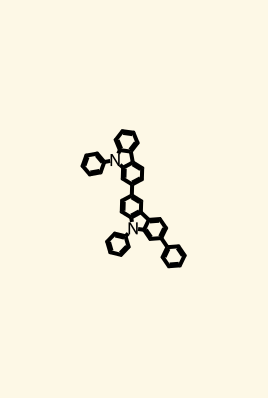 c1ccc(-c2ccc3c4cc(-c5ccc6c7ccccc7n(-c7ccccc7)c6c5)ccc4n(-c4ccccc4)c3c2)cc1